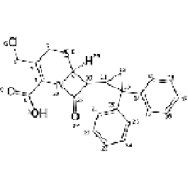 O=C(O)C1=C(CCl)CS[C@H]2C(C3CC3(c3ccccc3)c3ccccc3)C(=O)N12